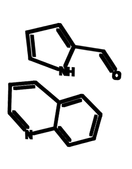 O=Cc1ccc[nH]1.c1ccc2ncccc2c1